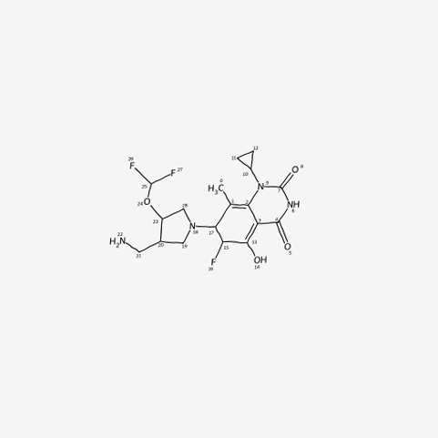 CC1=c2c(c(=O)[nH]c(=O)n2C2CC2)=C(O)C(F)C1N1CC(CN)C(OC(F)F)C1